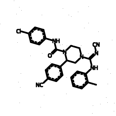 Cc1ccccc1N/C(=N/C#N)N1CCN(C(=O)Nc2ccc(Cl)cc2)C(c2ccc(C#N)cc2)C1